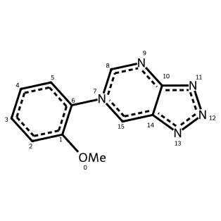 COc1ccccc1-n1cnc2nnnc-2c1